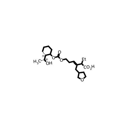 CCC(C(=O)O)C(=CCCOC(=O)OC1CCCC[C@H]1[C@@H](C)O)CC1CCOC1